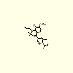 C=CCN1c2c(ccc(OC)c2F)C(c2cnc(C(F)F)c(C)c2)=NC1(C)C